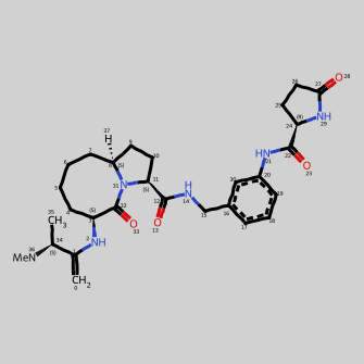 C=C(N[C@H]1CCCC[C@H]2CC[C@@H](C(=O)NCc3cccc(NC(=O)[C@H]4CCC(=O)N4)c3)N2C1=O)[C@H](C)NC